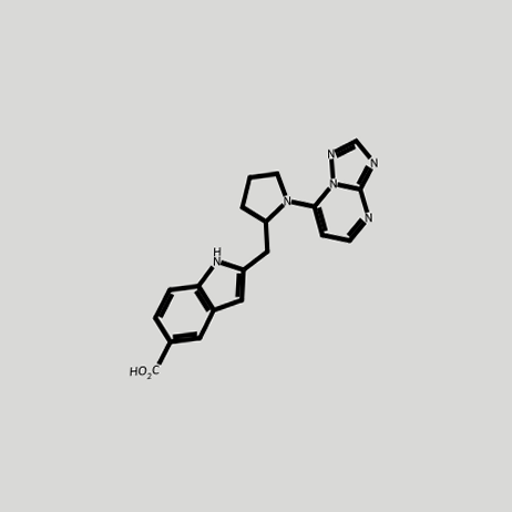 O=C(O)c1ccc2[nH]c(CC3CCCN3c3ccnc4ncnn34)cc2c1